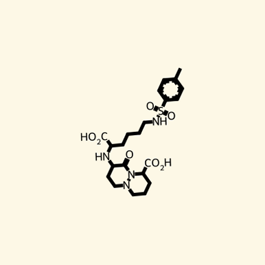 Cc1ccc(S(=O)(=O)NCCCCC(NC2CCN3CCCC(C(=O)O)N3C2=O)C(=O)O)cc1